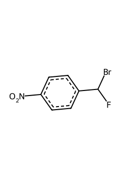 O=[N+]([O-])c1ccc(C(F)Br)cc1